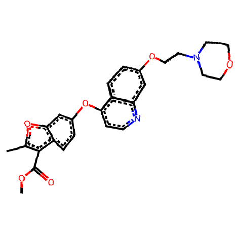 COC(=O)c1c(C)oc2cc(Oc3ccnc4cc(OCCN5CCOCC5)ccc34)ccc12